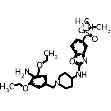 CCOc1cc(CN2CCC(Nc3nc4cc(S(=O)(=O)N(C)C)ccc4o3)CC2)cc(OCC)c1N